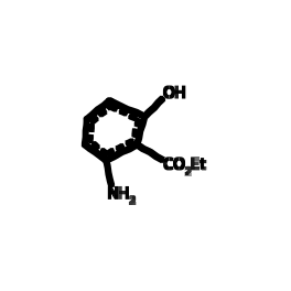 CCOC(=O)c1c(N)cccc1O